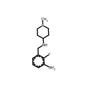 CN1CCC(NCc2cccc(N)c2F)CC1